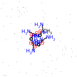 CC(CCCCN)NC(=O)c1cccc(NC(=O)C(CCCCN)NC(=O)c2cccc(NC(=O)C(CCCCN)NC(=O)c3cccc(NC(=O)[C@@H](N)CCCCN)c3)c2)c1